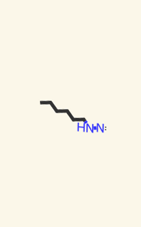 CCCCCCN[N]